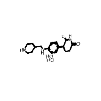 Cl.Cl.O=C1CCC(c2ccc(NCC3CCNCC3)cc2)C(=O)N1